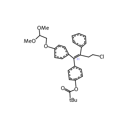 COC(COc1ccc(/C(=C(/CCCl)c2ccccc2)c2ccc(OC(=O)C(C)(C)C)cc2)cc1)OC